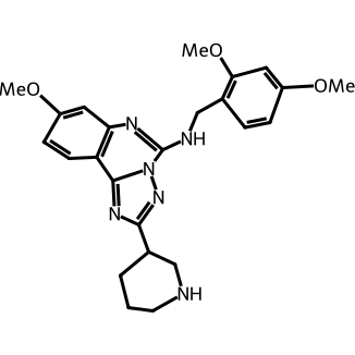 COc1ccc(CNc2nc3cc(OC)ccc3c3nc(C4CCCNC4)nn23)c(OC)c1